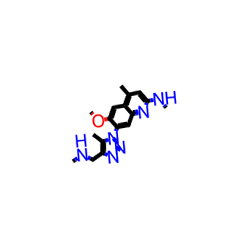 CNCc1nnn(-c2cc3nc(NC)cc(C)c3cc2OC)c1C